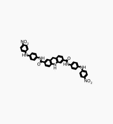 O=C(Nc1ccc(Nc2ccc([N+](=O)[O-])cc2)cc1)c1ccc2c(c1)Cc1ccc(C(=O)Nc3ccc(Nc4ccc([N+](=O)[O-])cc4)cc3)cc1N2